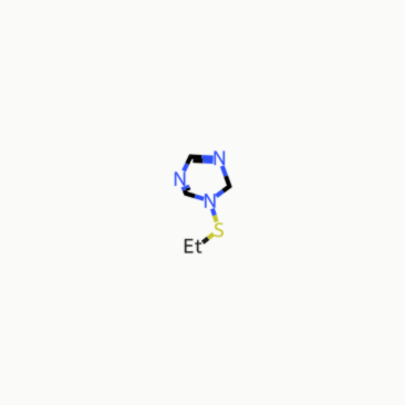 CCSN1C=NC=NC1